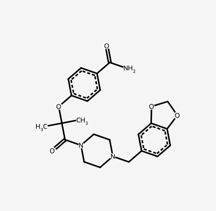 CC(C)(Oc1ccc(C(N)=O)cc1)C(=O)N1CCN(Cc2ccc3c(c2)OCO3)CC1